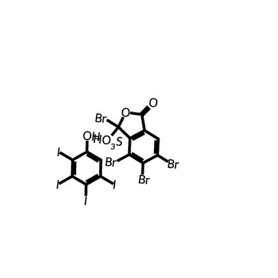 O=C1OC(Br)(S(=O)(=O)O)c2c1cc(Br)c(Br)c2Br.Oc1cc(I)c(I)c(I)c1I